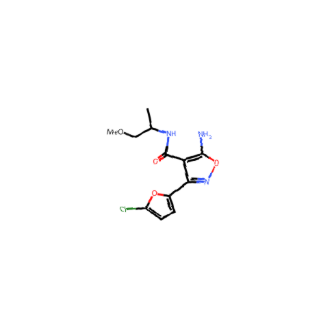 COCC(C)NC(=O)c1c(-c2ccc(Cl)o2)noc1N